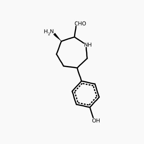 N[C@@H]1CCC(c2ccc(O)cc2)CNC1C=O